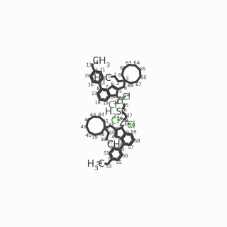 CCCC1(CC2=Cc3c(-c4ccc(CC)cc4)cccc3[CH]2[Zr]([Cl])([Cl])[CH2][SiH2][CH2][Zr]([Cl])([Cl])[CH]2C(CC3(CCC)CCCCCCCC3)=Cc3c(-c4ccc(CC)cc4)cccc32)CCCCCCCC1